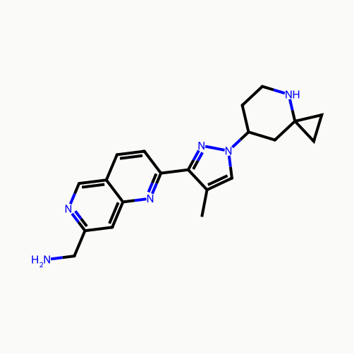 Cc1cn(C2CCNC3(CC3)C2)nc1-c1ccc2cnc(CN)cc2n1